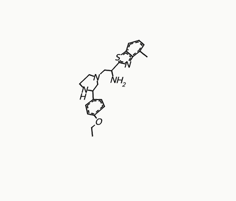 CCOc1ccc(C2CN(CC(N)c3nc4c(C)cccc4s3)CCN2)cc1